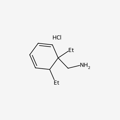 CCC1C=CC=CC1(CC)CN.Cl